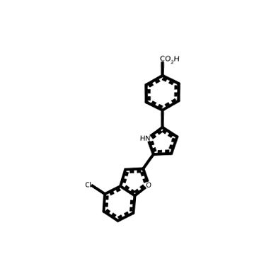 O=C(O)c1ccc(-c2ccc(-c3cc4c(Cl)cccc4o3)[nH]2)cc1